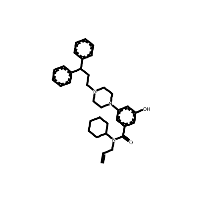 C=CCN(C(=O)c1cc(O)cc(N2CCN(CCC(c3ccccc3)c3ccccc3)CC2)c1)C1CCCCC1